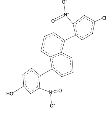 O=[N+]([O-])c1cc(O)ccc1-c1cccc2c(-c3ccc(Cl)cc3[N+](=O)[O-])cccc12